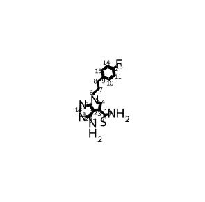 NC(=S)c1cn(CCCc2ccc(F)cc2)c2ncnc(N)c12